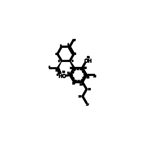 C=C(C)[C@@H]1CCC(C)=C[C@H]1c1c(O)cc(CCC)c(C)c1O